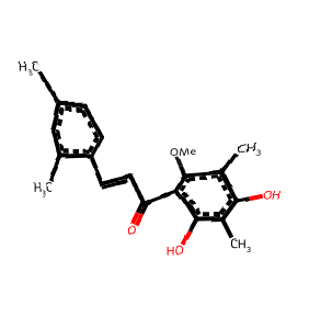 COc1c(C)c(O)c(C)c(O)c1C(=O)C=Cc1ccc(C)cc1C